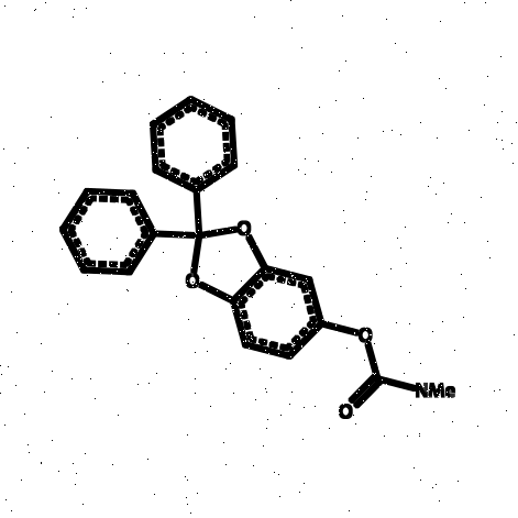 CNC(=O)Oc1ccc2c(c1)OC(c1ccccc1)(c1ccccc1)O2